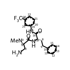 CN[C@@H](CN)C(=O)N[C@@H](CCc1ccccc1)C(=O)Nc1cccc(C(F)(F)F)c1